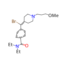 CCN(CC)C(=O)c1ccc(C(Br)=C2CCN(CCCOC)CC2)cc1